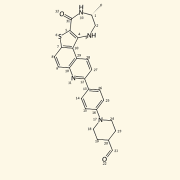 C[C@@H]1CNc2c(sc3ccc4nc(-c5ccc(N6CCC(C=O)CC6)cc5)ccc4c23)C(=O)N1